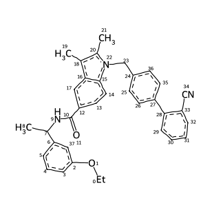 CCOc1cccc(C(C)NC(=O)c2ccc3c(c2)c(C)c(C)n3Cc2ccc(-c3ccccc3C#N)cc2)c1